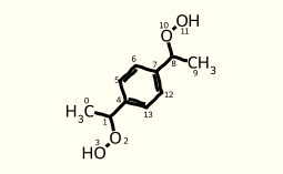 CC(OO)c1ccc(C(C)OO)cc1